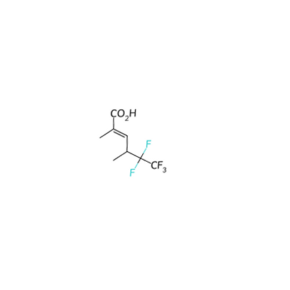 CC(=CC(C)C(F)(F)C(F)(F)F)C(=O)O